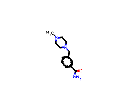 CN1CCN(Cc2[c]ccc(C(N)=O)c2)CC1